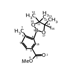 COC(=O)c1ccc(C)c(B2OC(C)(C)C(C)(I)O2)c1